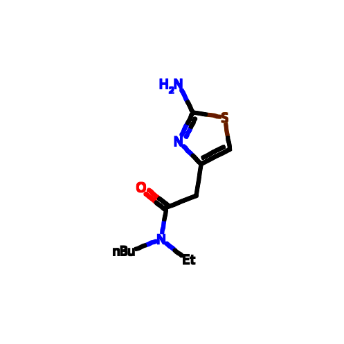 CCCCN(CC)C(=O)Cc1csc(N)n1